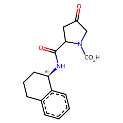 O=C1CC(C(=O)N[C@@H]2CCCc3ccccc32)N(C(=O)O)C1